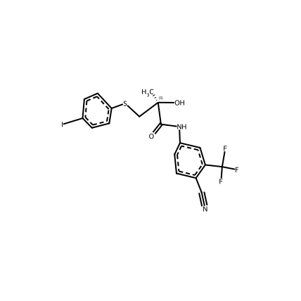 C[C@@](O)(CSc1ccc(I)cc1)C(=O)Nc1ccc(C#N)c(C(F)(F)F)c1